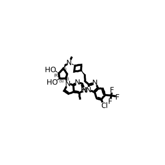 Cc1ncnc2c1ccn2[C@@H]1C[C@H](CN(C)[C@H]2C[C@H](CCc3nc4cc(C(F)(F)F)c(Cl)cc4[nH]3)C2)[C@@H](O)[C@H]1O